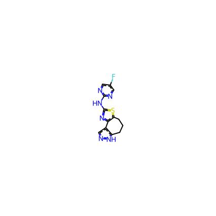 Fc1cnc(Nc2nc3c(s2)CCCc2[nH]ncc2-3)nc1